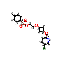 Cc1ccc(S(=O)(=O)OCCOC2CC(Oc3ccc(Br)cn3)C2)cc1